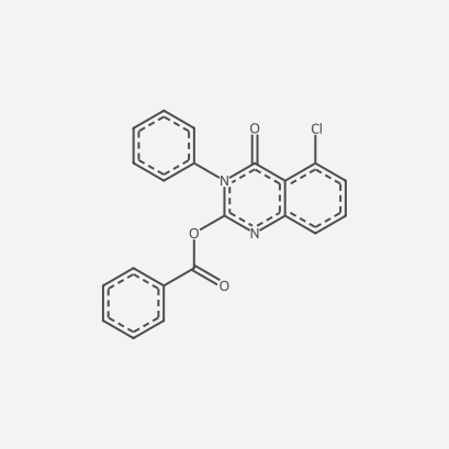 O=C(Oc1nc2cccc(Cl)c2c(=O)n1-c1ccccc1)c1ccccc1